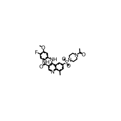 COc1cc(Nc2c(C(N)=O)cnc3c(C)cc(S(=O)(=O)N4CCN(C(C)=O)CC4)cc23)ccc1F